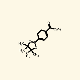 COC(=O)C1=CC=C(B2OC(C)(C)C(C)(C)O2)CC1